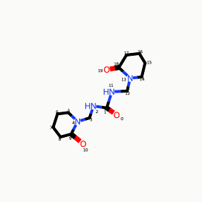 O=C(NCN1CCCCC1=O)NCN1CCCCC1=O